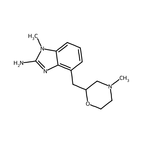 CN1CCOC(Cc2cccc3c2nc(N)n3C)C1